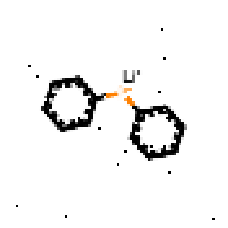 [Li+].c1ccc([P-]c2ccccc2)cc1